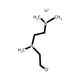 CN(C)CCN(C)CC[O-].[Li+]